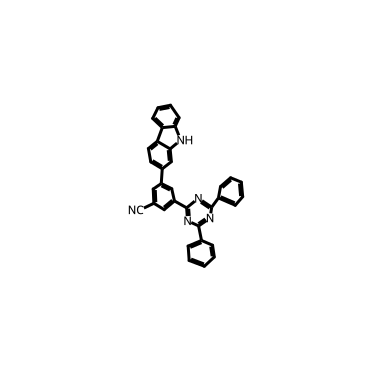 N#Cc1cc(-c2ccc3c(c2)[nH]c2ccccc23)cc(-c2nc(-c3ccccc3)nc(-c3ccccc3)n2)c1